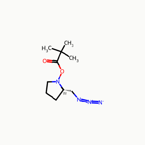 CC(C)(C)C(=O)ON1CCC[C@H]1CN=[N+]=[N-]